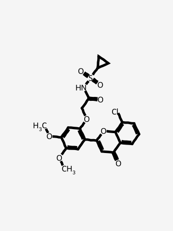 COc1cc(OCC(=O)NS(=O)(=O)C2CC2)c(-c2cc(=O)c3cccc(Cl)c3o2)cc1OC